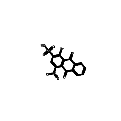 O=C1c2ccccc2C(=O)c2c(Br)c(S(=O)(=O)O)cc([N+](=O)[O-])c21